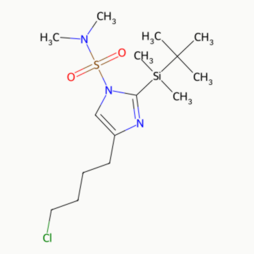 CN(C)S(=O)(=O)n1cc(CCCCCl)nc1[Si](C)(C)C(C)(C)C